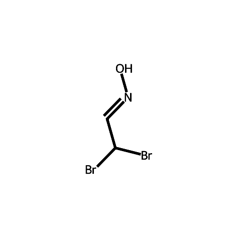 ON=CC(Br)Br